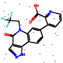 O=C(O)c1ncccc1-c1ccc2c3[nH]ncc3c(=O)n(CC(F)(F)F)c2c1